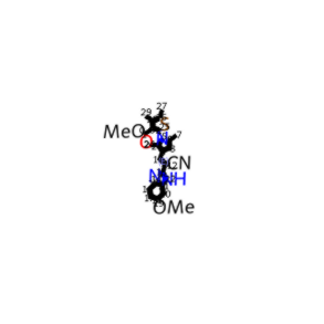 COC(=O)c1c(-n2c(C)cc(/C=C(\C#N)c3nc4ccc(OC)cc4[nH]3)c2C)sc(C)c1C